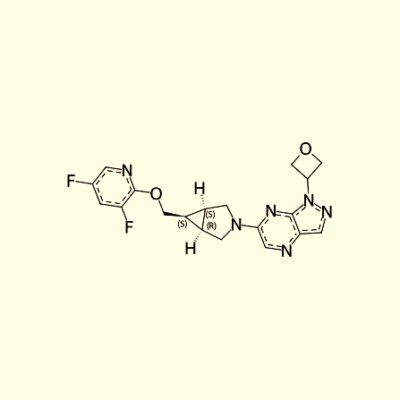 Fc1cnc(OC[C@H]2[C@H]3CN(c4cnc5cnn(C6COC6)c5n4)C[C@@H]23)c(F)c1